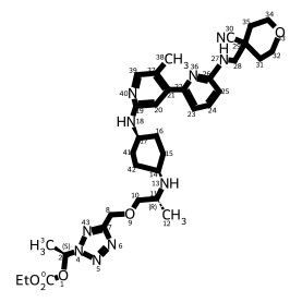 CCOC(=O)O[C@@H](C)n1nnc(COC[C@@H](C)N[C@H]2CC[C@H](Nc3cc(-c4cccc(NCC5(C#N)CCOCC5)n4)c(C)cn3)CC2)n1